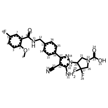 COc1ccc(F)cc1C(=O)NCc1ccc(-c2nn(C3CN(C(=O)O)CC3(F)F)c(N)c2C#N)cc1